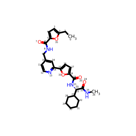 CCc1ccc(C(=O)NCc2ccnc(-c3ccc(C(=O)N[C@H](C(=O)NC)C4CCCCC4)o3)c2)o1